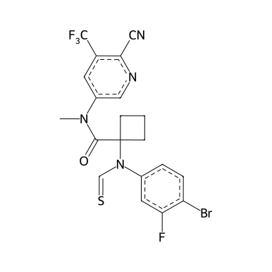 CN(C(=O)C1(N(C=S)c2ccc(Br)c(F)c2)CCC1)c1cnc(C#N)c(C(F)(F)F)c1